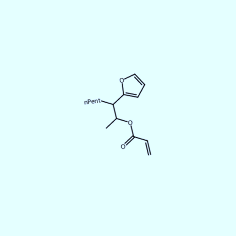 C=CC(=O)OC(C)C(CCCCC)c1ccco1